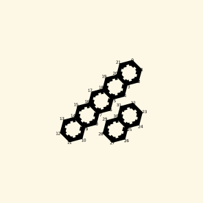 c1ccc2cc3cc4cc5ccccc5cc4cc3cc2c1.c1ccc2ccccc2c1